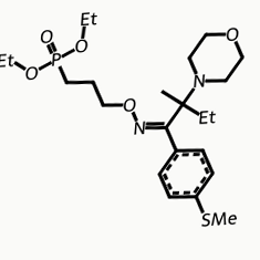 CCOP(=O)(CCCON=C(c1ccc(SC)cc1)C(C)(CC)N1CCOCC1)OCC